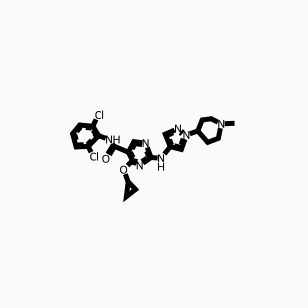 CN1CCC(n2cc(Nc3ncc(C(=O)Nc4c(Cl)cccc4Cl)c(OC4CC4)n3)cn2)CC1